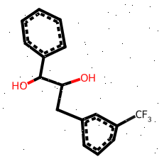 OC(Cc1cccc(C(F)(F)F)c1)C(O)c1ccccc1